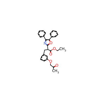 CCOC(=O)C(Cc1cccc(OCC(C)=O)c1)c1nc(-c2ccccc2)c(-c2ccccc2)o1